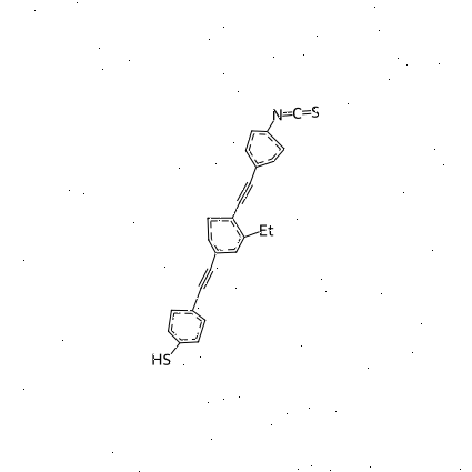 CCc1cc(C#Cc2ccc(S)cc2)ccc1C#Cc1ccc(N=C=S)cc1